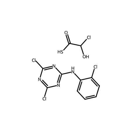 Clc1nc(Cl)nc(Nc2ccccc2Cl)n1.O=C(S)C(O)Cl